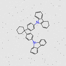 C1=Cc2c(c3ccccc3n2-c2ccc(C3(c4ccc(-n5c6ccccc6c6ccccc65)cc4)CCCCC3)cc2)CC1